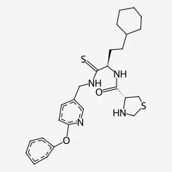 O=C(N[C@H](CCC1CCCCC1)C(=S)NCc1ccc(Oc2ccccc2)nc1)[C@@H]1CSCN1